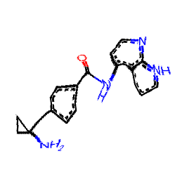 NC1(c2ccc(C(=O)Nc3ccnc4[nH]ccc34)cc2)CC1